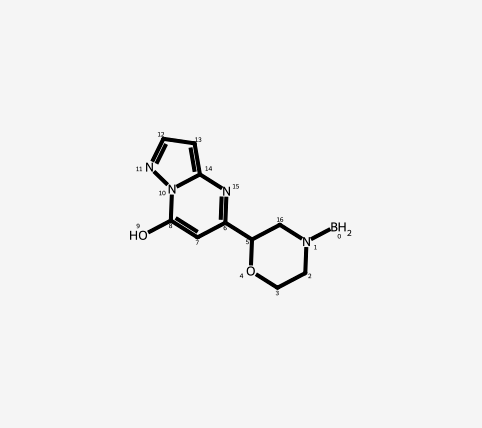 BN1CCOC(c2cc(O)n3nccc3n2)C1